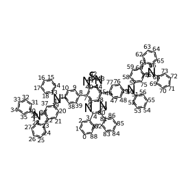 c1ccc(-c2nc3c(-c4ccc(N(c5ccccc5)c5ccc6c7ccccc7n(-c7ccccc7)c6c5)cc4)c4nsnc4c(-c4ccc(N(c5ccccc5)c5ccc6c7ccccc7n(-c7ccccc7)c6c5)cc4)c3nc2-c2ccccc2)cc1